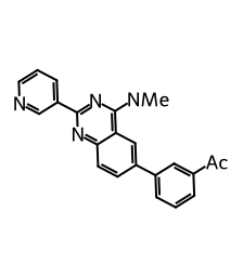 CNc1nc(-c2cccnc2)nc2ccc(-c3cccc(C(C)=O)c3)cc12